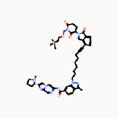 Cc1nn(CCCCCCCC#Cc2cccc3c2CN(C2CCC(=O)N(COCC[Si](C)(C)C)C2=O)C3=O)c2cc(C(=O)Nc3cn4cc([C@H]5CCCN5C)nc4cn3)ccc12